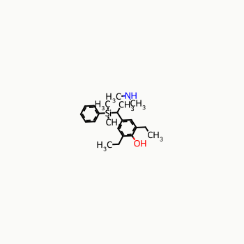 CCc1cc(C(C)[Si](C)(C)c2ccccc2)cc(CC)c1O.CNC